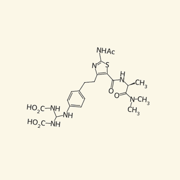 CC(=O)Nc1nc(CCc2ccc(NC(NC(=O)O)NC(=O)O)cc2)c(C(=O)N[C@@H](C)C(=O)N(C)C)s1